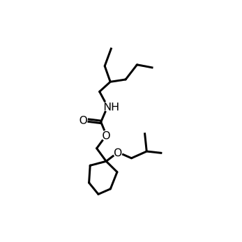 CCCC(CC)CNC(=O)OCC1(OCC(C)C)CCCCC1